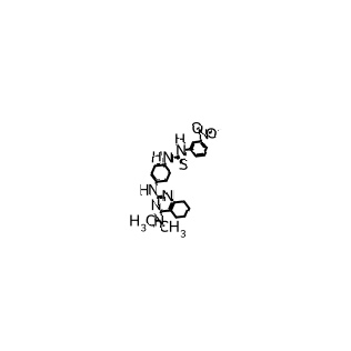 CN(C)c1nc(NC2CCC(NC(=S)Nc3cccc([N+](=O)[O-])c3)CC2)nc2c1CCCC2